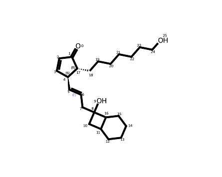 O=C1C=C[C@H](/C=C/CC2(O)CC3CCCCC32)[C@H]1CCCCCCCO